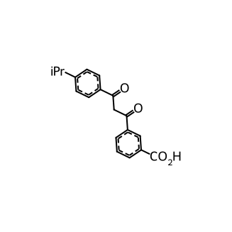 CC(C)c1ccc(C(=O)CC(=O)c2cccc(C(=O)O)c2)cc1